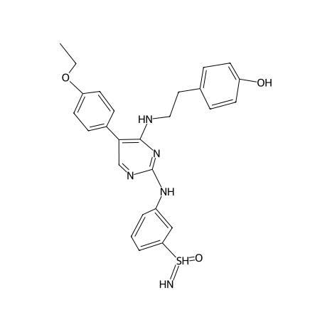 CCOc1ccc(-c2cnc(Nc3cccc([SH](=N)=O)c3)nc2NCCc2ccc(O)cc2)cc1